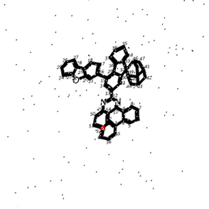 c1ccc(-c2ccccc2-c2nc(-c3cc(-c4ccc5c(c4)oc4ccccc45)c4c(c3)C3(c5ccccc5-4)C4CC5CC(C4)CC3C5)nc3ccccc23)cc1